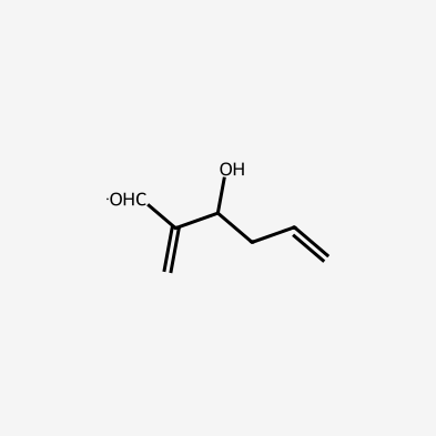 C=CCC(O)C(=C)[C]=O